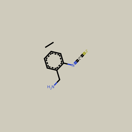 CC.NCc1ccccc1N=C=S